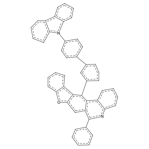 c1ccc(-c2nc3ccccc3c3c(-c4cccc(-c5ccc(-n6c7ccccc7c7ccccc76)cc5)c4)c4c(cc23)oc2ccccc24)cc1